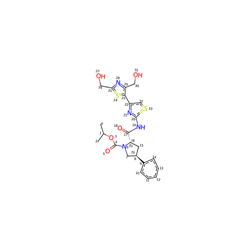 CC(C)OC(=O)N1C[C@H](c2ccccc2)C[C@H]1C(=O)Nc1nc(-c2sc(CO)nc2CO)cs1